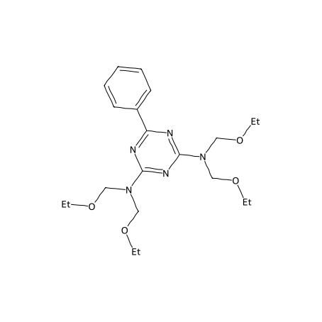 CCOCN(COCC)c1nc(-c2ccccc2)nc(N(COCC)COCC)n1